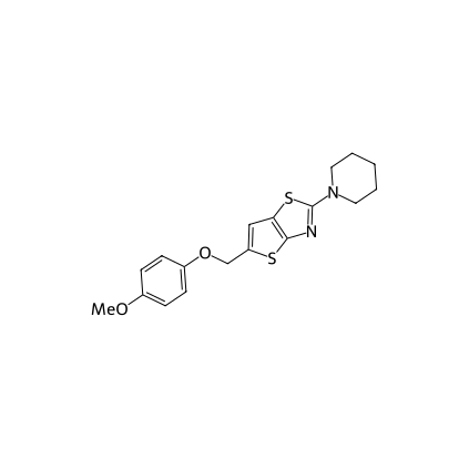 COc1ccc(OCc2cc3sc(N4CCCCC4)nc3s2)cc1